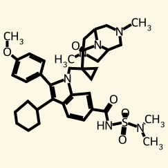 COc1ccc(-c2c(C3CCCCC3)c3ccc(C(=O)NS(=O)(=O)N(C)C)cc3n2CC2(C(=O)N3C4CN(C)CC3CN(C)C4)CC2)cc1